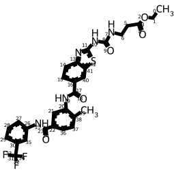 CCOC(=O)CCNC(=O)Nc1nc2ccc(C(=O)Nc3cc(C(=O)Nc4cccc(C(F)(F)F)c4)ccc3C)cc2s1